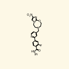 CC(C)NC(=O)c1ccc(-c2cc(CN3CCOc4nc([N+](=O)[O-])cn4CC3)ccn2)cc1F